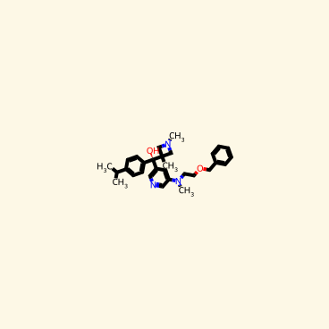 CC(C)c1ccc([C@](O)(c2cncc(N(C)CCOCc3ccccc3)c2)C2(C)CN(C)C2)cc1